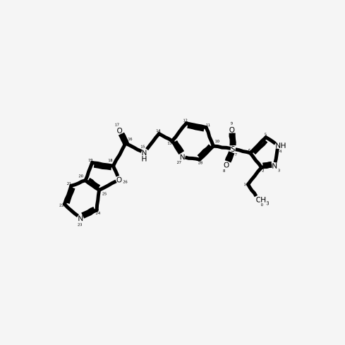 CCc1n[nH]cc1S(=O)(=O)c1ccc(CNC(=O)c2cc3ccncc3o2)nc1